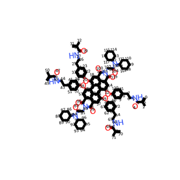 C=C(C)C(=O)NCCc1ccc(Oc2cc3c4c(cc(Oc5ccc(CCNC(=O)C(=C)C)cc5)c5c6c(Oc7ccc(CCNC(=O)C(=C)C)cc7)cc7c8c(cc(Oc9ccc(CCNC(=O)C(=C)C)cc9)c(c2c45)c86)C(=O)N(CC(=O)N(C2CCCCC2)C2CCCCC2)C7=O)C(=O)N(CC(=O)N(C2CCCCC2)C2CCCCC2)C3=O)cc1